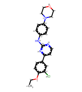 CCOc1ccc(-c2ccnc(Nc3ccc(N4CCOCC4)cc3)n2)cc1Cl